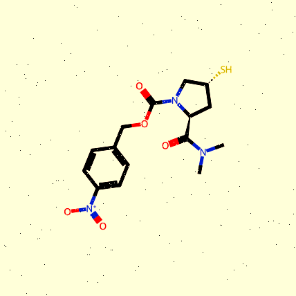 CN(C)C(=O)[C@@H]1C[C@@H](S)CN1C(=O)OCc1ccc([N+](=O)[O-])cc1